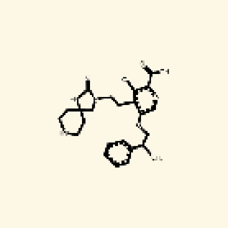 CC(COc1cnc(C(=O)O)c(Cl)c1CCN1CC2(CCNCC2)NC1=O)c1ccccc1